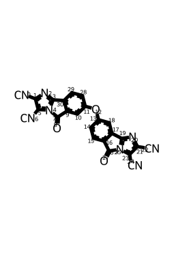 [C-]#[N+]c1nc2n(c1[N+]#[C-])C(=O)c1cc(Oc3ccc4c(c3)-c3nc(C#N)c(C#N)n3C4=O)ccc1-2